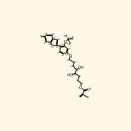 C=C(C)C(=O)OCCCC(O)C(O)CCCOc1ccc(-c2cc3ccc(C)cc3o2)c(OC(F)(F)F)c1